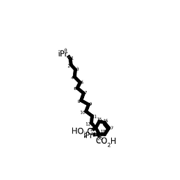 CC(C)CCCCCCCCCCCCC1(C(=O)O)CC=CCC1(C(=O)O)C(C)C